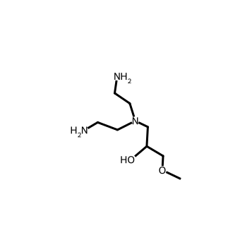 COCC(O)CN(CCN)CCN